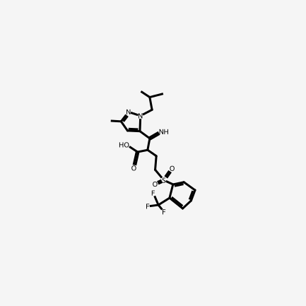 Cc1cc(C(=N)C(CCS(=O)(=O)c2ccccc2C(F)(F)F)C(=O)O)n(CC(C)C)n1